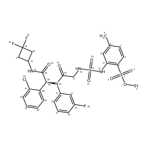 CCOS(=O)(=O)c1ccc(C)cc1NS(=O)(=O)NCC(=O)N(c1cccc(F)c1)[C@H](C(=O)NC1CC(F)(F)C1)c1ccccc1Cl